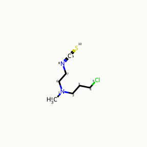 CN(CCCCl)CCN=C=S